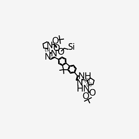 CC(C)(C)OC(=O)N[C@H]1CCC[C@@H]1c1ncc(-c2ccc3c(c2)C(C)(C)c2cc(-c4cnc([C@@H]5CCCN5C(=O)OC(C)(C)C)n4COCC[Si](C)(C)C)ccc2-3)[nH]1